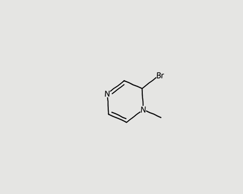 CN1C=CN=CC1Br